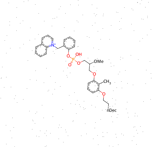 CCCCCCCCCCCCOc1cccc(OCC(COP(=O)(O)Oc2ccccc2C[n+]2cccc3ccccc32)OC)c1C